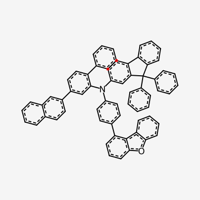 c1ccc(-c2ccc(-c3ccc4ccccc4c3)cc2N(c2ccc(-c3cccc4oc5ccccc5c34)cc2)c2ccc3c(c2)C(c2ccccc2)(c2ccccc2)c2ccccc2-3)cc1